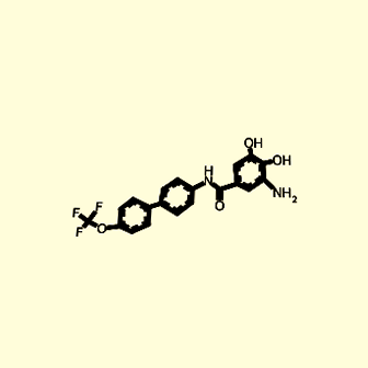 Nc1cc(C(=O)Nc2ccc(-c3ccc(OC(F)(F)F)cc3)cc2)cc(O)c1O